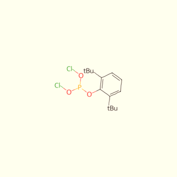 CC(C)(C)c1cccc(C(C)(C)C)c1OP(OCl)OCl